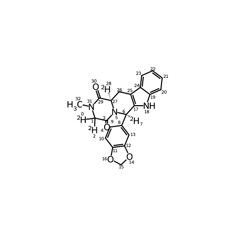 [2H]C1([2H])C(=O)N2[C@]([2H])(c3ccc4c(c3)OCO4)c3[nH]c4ccccc4c3C[C@]2([2H])C(=O)N1C